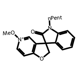 CCCCCN1C(=O)C2(COc3cc[n+](OC)cc32)c2ccccc21